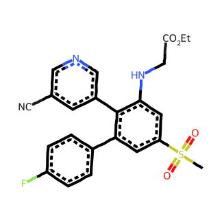 CCOC(=O)CNc1cc(S(C)(=O)=O)cc(-c2ccc(F)cc2)c1-c1cncc(C#N)c1